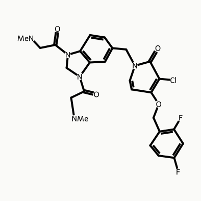 CNCC(=O)N1CN(C(=O)CNC)c2cc(Cn3ccc(OCc4ccc(F)cc4F)c(Cl)c3=O)ccc21